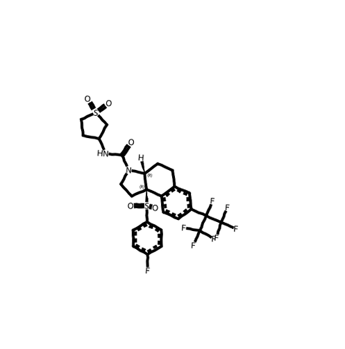 O=C(NC1CCS(=O)(=O)C1)N1CC[C@@]2(S(=O)(=O)c3ccc(F)cc3)c3ccc(C(F)(C(F)(F)F)C(F)(F)F)cc3CC[C@@H]12